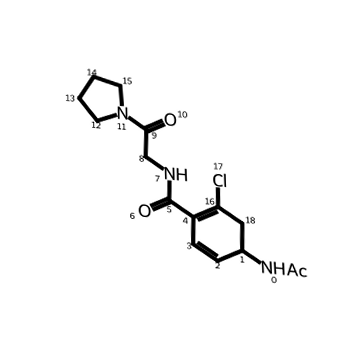 CC(=O)NC1C=CC(C(=O)NCC(=O)N2CCCC2)=C(Cl)C1